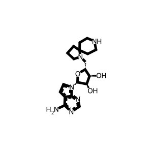 Nc1ncnc2c1ccn2[C@@H]1O[C@H](CN2CCCC23CCNCC3)[C@@H](O)[C@H]1O